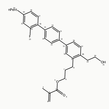 C=C(C)C(=O)OCCCc1cc(-c2ccc(-c3ccc(CCCCC)cc3F)cc2)ccc1CCO